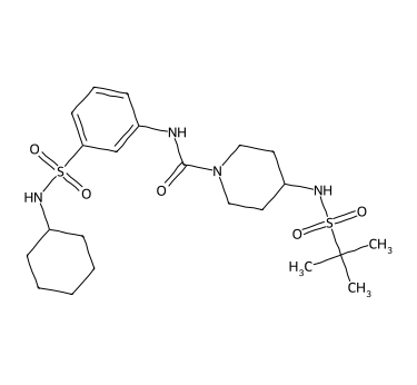 CC(C)(C)S(=O)(=O)NC1CCN(C(=O)Nc2cccc(S(=O)(=O)NC3CCCCC3)c2)CC1